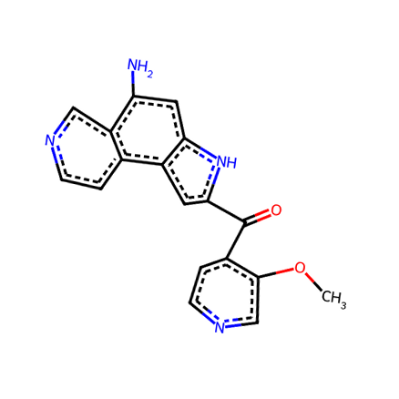 COc1cnccc1C(=O)c1cc2c(cc(N)c3cnccc32)[nH]1